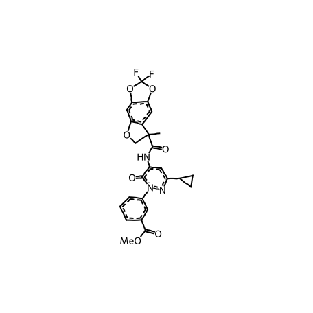 COC(=O)c1cccc(-n2nc(C3CC3)cc(NC(=O)C3(C)COc4cc5c(cc43)OC(F)(F)O5)c2=O)c1